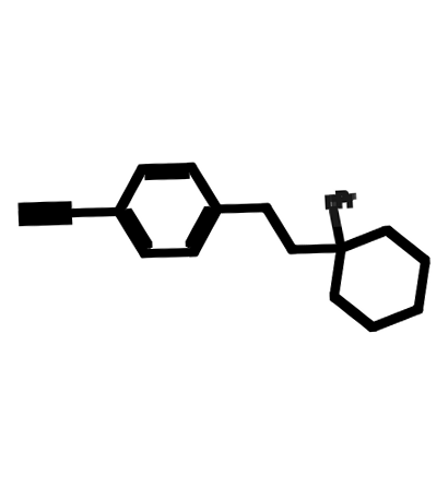 C#Cc1ccc(CCC2(CCC)CCCCC2)cc1